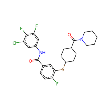 O=C(Nc1cc(F)c(F)c(Cl)c1)c1ccc(F)c(SC2CCC(C(=O)N3CCCCC3)CC2)c1